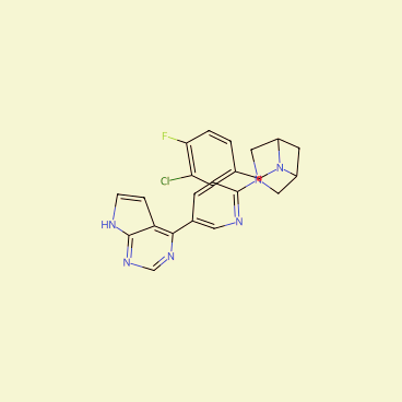 Fc1ccc(CN2C3CC2CN(c2ccc(-c4ncnc5[nH]ccc45)cn2)C3)cc1Cl